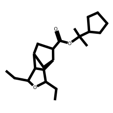 CCC1OC(CC)C2C3CC(CC3C(=O)OC(C)(C)C3CCCC3)C12